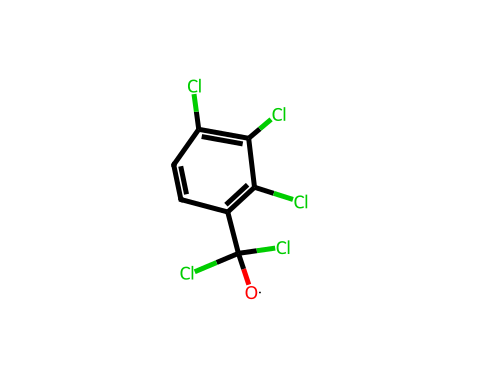 [O]C(Cl)(Cl)c1ccc(Cl)c(Cl)c1Cl